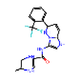 CC1CNC(C(=O)NC2=CNC3C=CC(c4ccccc4C(F)(F)F)NN23)=CN1